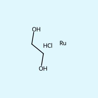 Cl.OCCO.[Ru]